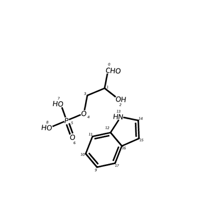 O=CC(O)COP(=O)(O)O.c1ccc2[nH]ccc2c1